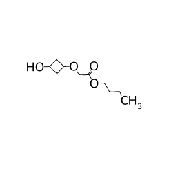 CCCCOC(=O)COC1CC(O)C1